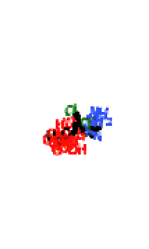 C[C@@H](OP(=O)(O)OP(=O)(O)OP(=O)(O)O)[C@H]1O[C@@H](n2cnc3cnc(N)nc32)C(Cl)(C#CCl)[C@H]1O